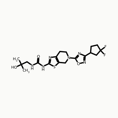 CC(C)(O)CNC(=O)Nc1nc2c(s1)CN(c1nc(C3CCC(F)(F)C3)no1)CC2